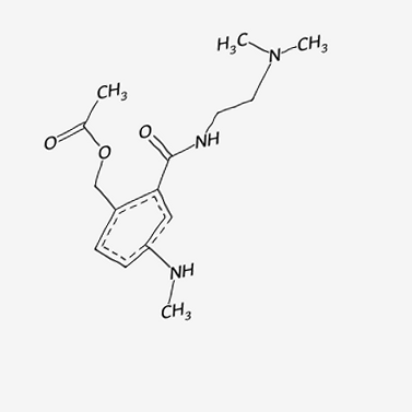 CNc1ccc(COC(C)=O)c(C(=O)NCCN(C)C)c1